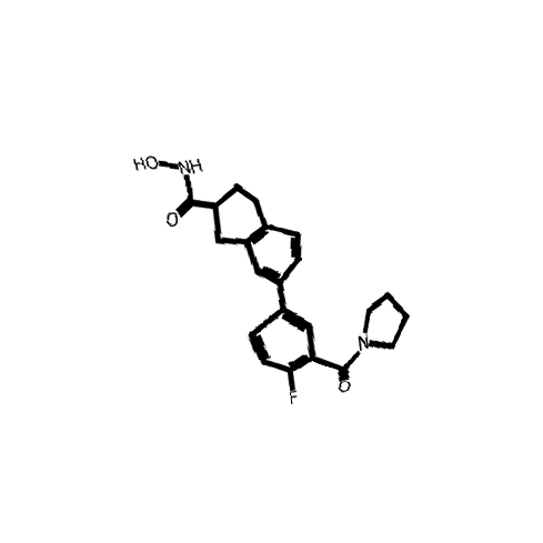 O=C(NO)C1CCc2ccc(-c3ccc(F)c(C(=O)N4CCCC4)c3)cc2C1